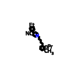 CCCc1c(C)cccc1CCCCCN1CCC(C#N)(c2ccc(CC)cc2)CC1